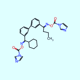 CCC/C(=N\OC(=O)n1ccnc1)c1cccc(-c2cccc(/C(=N/OC(=O)n3ccnc3)C3CCCCC3)c2)c1